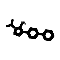 CC(C)n1nnc(-c2ccc(-c3ccccc3)cc2)c1N